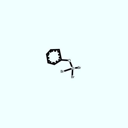 [Br][Zr]([Br])([Br])[O]c1ccccc1